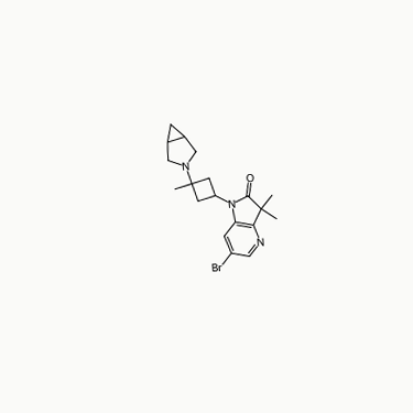 CC1(C)C(=O)N(C2CC(C)(N3CC4CC4C3)C2)c2cc(Br)cnc21